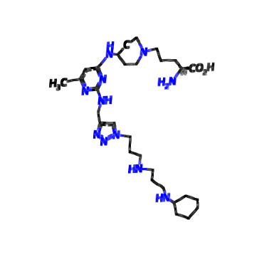 Cc1cc(NC2CCN(CCC[C@H](N)C(=O)O)CC2)nc(NCc2cn(CCCNCCCNC3CCCCC3)nn2)n1